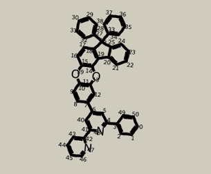 c1ccc(-c2cc(-c3ccc4c(c3)Oc3c(ccc5c3-c3ccccc3C5(c3ccccc3)c3ccccc3)O4)cc(-c3ccccn3)n2)cc1